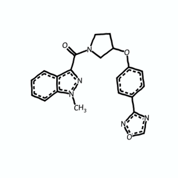 Cn1nc(C(=O)N2CCC(Oc3ccc(-c4ncon4)cc3)C2)c2ccccc21